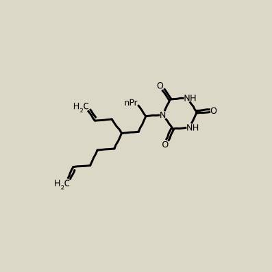 C=CCCCC(CC=C)CC(CCC)n1c(=O)[nH]c(=O)[nH]c1=O